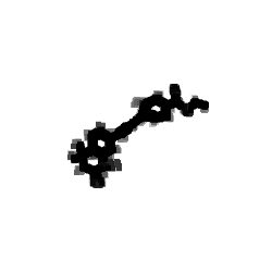 CCOC(=O)c1ccc(C#Cc2ccc3c(c2)NC(=O)CC3(C)C)cc1